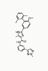 COc1ccc(-c2nc(C(=O)Nc3cccc(-c4cnn(C)n4)c3)c(C)[nH]2)cc1-c1c(C)cccc1C